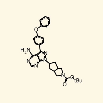 CC(C)(C)OC(=O)N1CC2CC(n3nc(-c4ccc(Oc5ccccc5)cc4)c4c(N)ncnc43)CC2C1